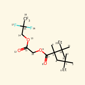 CCC(C)(C)CC(C)(C(=O)OCC(=O)OCC(F)(F)C(F)(F)F)C(C)(C)CC